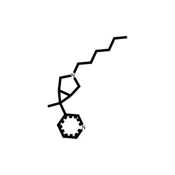 CCCCCCN1CC2C(C1)C2(C)c1cccnc1